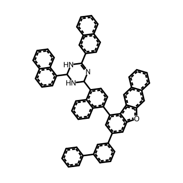 c1ccc(-c2cccc(-c3cc(-c4ccc(C5N=C(c6ccc7ccccc7c6)NC(c6cccc7ccccc67)N5)c5ccccc45)c4c(c3)oc3cc5ccccc5cc34)c2)cc1